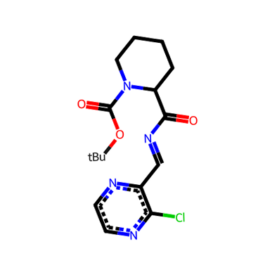 CC(C)(C)OC(=O)N1CCCCC1C(=O)N=Cc1nccnc1Cl